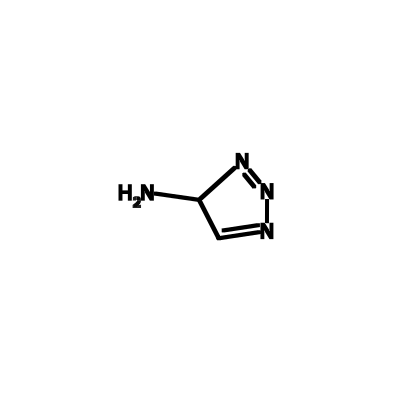 NC1C=NN=N1